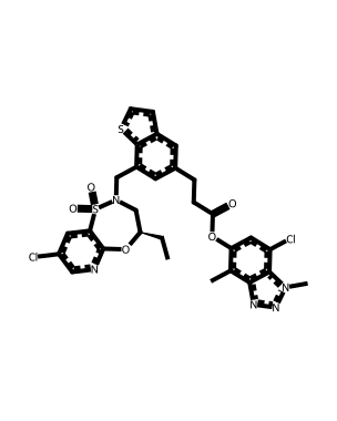 CC[C@@H]1CN(Cc2cc(CCC(=O)Oc3cc(Cl)c4c(nnn4C)c3C)cc3ccsc23)S(=O)(=O)c2cc(Cl)cnc2O1